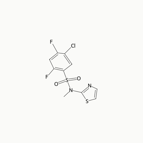 CN(c1nccs1)S(=O)(=O)c1cc(Cl)c(F)cc1F